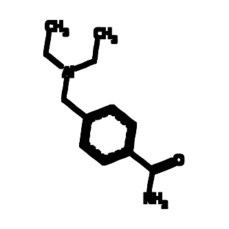 C[CH2][Al]([CH2]C)[CH2]c1ccc(C(N)=O)cc1